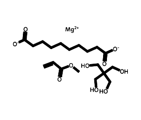 C=CC(=O)OC.O=C([O-])CCCCCCCCC(=O)[O-].OCC(CO)(CO)CO.[Mg+2]